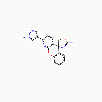 Cn1cc(-c2ccc3c(n2)Oc2ccccc2C32COC(N)=N2)cn1